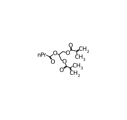 C=C(C)C(=O)OCC(COC(=O)C(=C)C)OC(=O)CCC